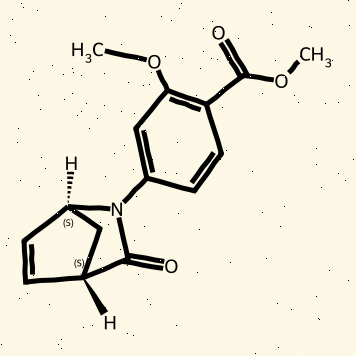 COC(=O)c1ccc(N2C(=O)[C@@H]3C=C[C@@H]2C3)cc1OC